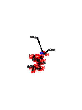 CCCCCCCC/C=C\CCCCCCCCCCCCCCCC(=O)N[C@@H](CO[C@@H]1OC(CO)[C@@H](O[C@@H]2OC(CO[C@@H]3OC(CO)[C@@H](O)[C@H](O)C3NC(C)=O)[C@H](O)[C@H](O[C@@H]3OC(CO)[C@@H](O[C@@H]4OC(CO[C@]5(C(=O)O)CC(O)[C@@H](NC(C)=O)C([C@H](O)[C@H](O)CO)O5)[C@H](O)[C@H](O)C4O)[C@H](O)C3NC(C)=O)C2O)[C@H](O)C1O)[C@H](O)/C=C/CCCCCCCCCCCCC